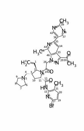 C=C[C@@H]1[C@@H](CN2CCCC2)C[C@@H](C(=O)Nc2nc(Br)ccc2C)N1C(=O)Cn1nc(C(C)=O)c2cc(-c3cnc(C)nc3)nc(C)c21